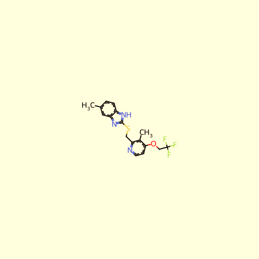 Cc1ccc2[nH]c(SCc3nccc(OCC(F)(F)F)c3C)nc2c1